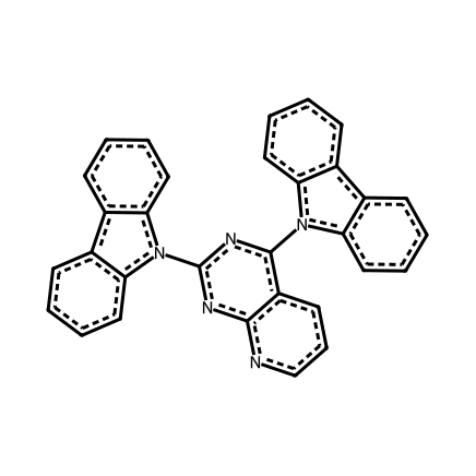 c1cnc2nc(-n3c4ccccc4c4ccccc43)nc(-n3c4ccccc4c4ccccc43)c2c1